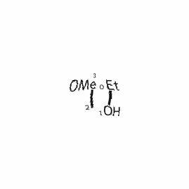 CCO.COC